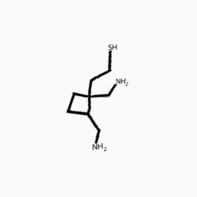 NCC1CCC1(CN)CCS